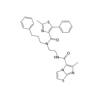 Cc1nc(C(=O)N(CCCc2ccccc2)CCNC(=O)c2c(C)nc3sccn23)c(-c2ccccc2)s1